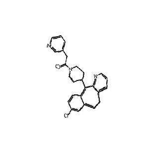 O=C(Cc1cccnc1)N1CCC(C2=c3ccc(Cl)cc3=CCc3cccnc32)CC1